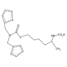 CC(CCCCSC(=O)N(Cc1cccs1)Cc1cccs1)NC(=O)O